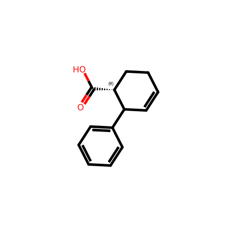 O=C(O)[C@@H]1CCC=CC1c1ccccc1